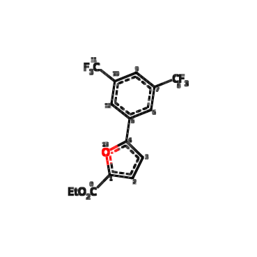 CCOC(=O)c1ccc(-c2cc(C(F)(F)F)cc(C(F)(F)F)c2)o1